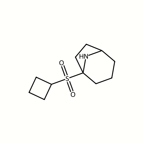 O=S(=O)(C1CCC1)C12CCCC(CC1)N2